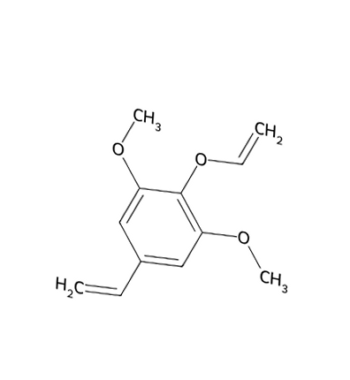 C=COc1c(OC)cc(C=C)cc1OC